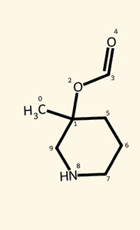 CC1(OC=O)CCCNC1